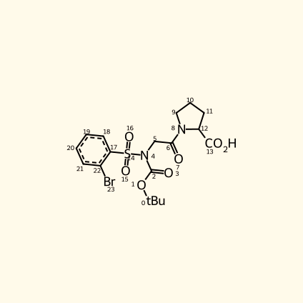 CC(C)(C)OC(=O)N(CC(=O)N1CCCC1C(=O)O)S(=O)(=O)c1ccccc1Br